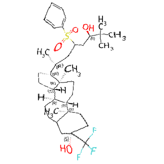 C[C@H](CC(C[C@@H](O)C(C)(C)C)S(=O)(=O)c1ccccc1)[C@H]1CC[C@H]2[C@@H]3CCC4C[C@](O)(C(F)(F)F)CC[C@]4(C)[C@H]3CC[C@]12C